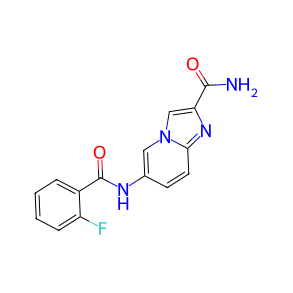 NC(=O)c1cn2cc(NC(=O)c3ccccc3F)ccc2n1